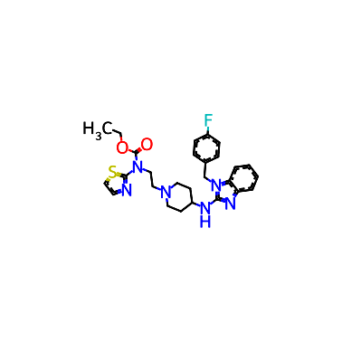 CCOC(=O)N(CCN1CCC(Nc2nc3ccccc3n2Cc2ccc(F)cc2)CC1)c1nccs1